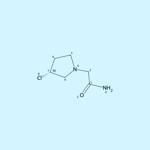 NC(=O)CN1CC[C@@H](Cl)C1